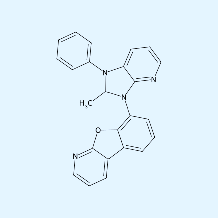 CC1N(c2ccccc2)c2cccnc2N1c1cccc2c1oc1ncccc12